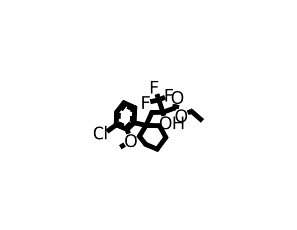 CCOC(=O)C(O)(CC1(c2cccc(Cl)c2OC)CCCCC1)C(F)(F)F